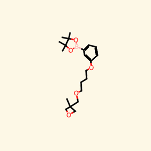 CC1(COCCCCOc2cccc(B3OC(C)(C)C(C)(C)O3)c2)COC1